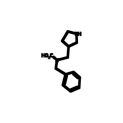 O=C(O)N(Cc1ccccc1)CC1CCNC1